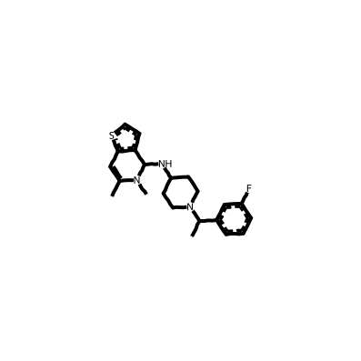 CC1=Cc2sccc2C(NC2CCN(C(C)c3cccc(F)c3)CC2)N1C